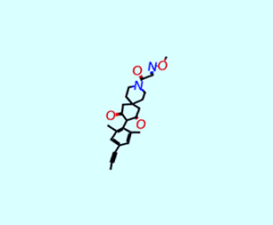 CC#Cc1cc(C)c(C2C(=O)CC3(CCN(C(=O)/C=N/OC)CC3)CC2=O)c(C)c1